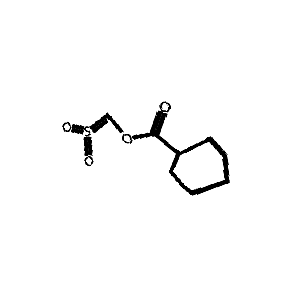 O=C(OC=S(=O)=O)C1CCCCC1